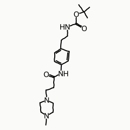 CN1CCN(CCC(=O)Nc2ccc(CCNC(=O)OC(C)(C)C)cc2)CC1